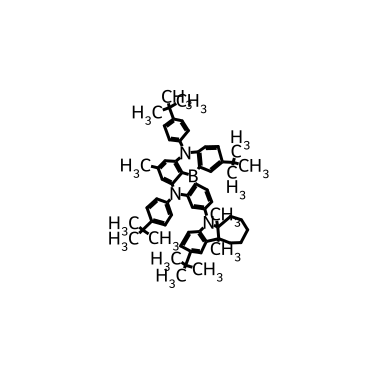 Cc1cc2c3c(c1)N(c1ccc(C(C)(C)C)cc1)c1cc(N4c5ccc(C(C)(C)C)cc5C5(C)CCCCCC45C)ccc1B3c1cc(C(C)(C)C)ccc1N2c1ccc(C(C)(C)C)cc1